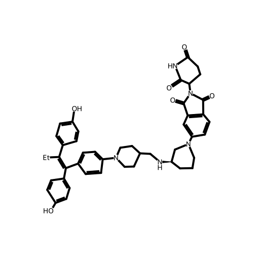 CCC(=C(c1ccc(O)cc1)c1ccc(N2CCC(CN[C@@H]3CCCN(c4ccc5c(c4)C(=O)N(C4CCC(=O)NC4=O)C5=O)C3)CC2)cc1)c1ccc(O)cc1